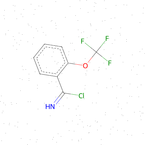 N=C(Cl)c1ccccc1OC(F)(F)F